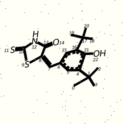 CC(C)(C)c1cc(C=C2SC(=S)NC2=O)cc(C(C)(C)C)c1O